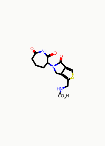 O=C(O)NCc1scc2c1CN(C1CCCC(=O)NC1=O)C2=O